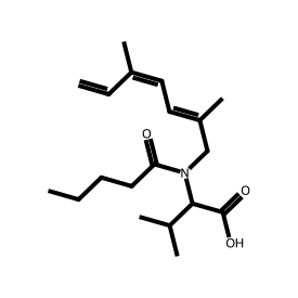 C=C/C(C)=C\C=C(/C)CN(C(=O)CCCC)C(C(=O)O)C(C)C